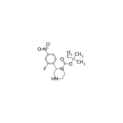 CC(C)(C)OC(=O)N1CCNCC1c1ccc([N+](=O)[O-])cc1F